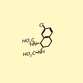 O=C(O)N[C@@H]1CCc2ccc(Cl)cc2[C@@H]1NC(=O)O